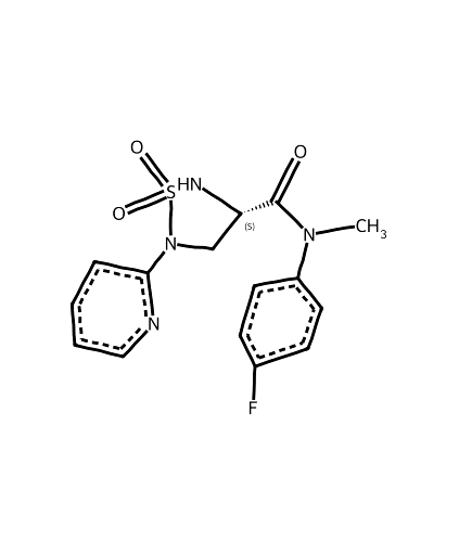 CN(C(=O)[C@@H]1CN(c2ccccn2)S(=O)(=O)N1)c1ccc(F)cc1